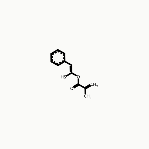 C=C(C)C(=O)OC(S)=Cc1ccccc1